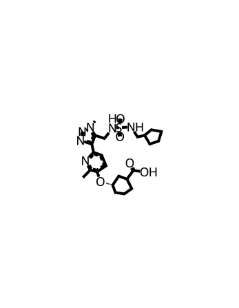 Cc1nc(-c2nnn(C)c2CNS(=O)(=O)NCC2CCCC2)ccc1O[C@H]1CCCC(C(=O)O)C1